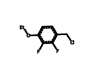 CCOc1ccc(CCl)c(F)c1F